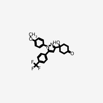 COc1ccc(-n2nc(C3(O)CCC(=O)CC3)cc2-c2ccc(C(F)(F)F)cc2)cc1